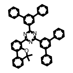 CC1(C)Oc2c(-c3nc(-c4cc(-c5ccccc5)cc(-c5ccccc5)c4)nc(-c4cc(-c5ccccc5)cc(-c5ccccc5)c4)n3)cccc2-c2ccccc21